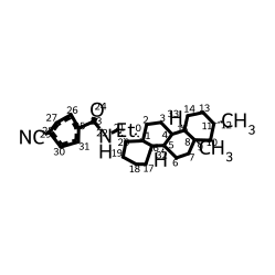 CC[C@]12CCC3[C@@H](CC[C@]4(C)C[C@@H](C)CC[C@H]34)C1CCC[C@@H]2CNC(=O)c1ccc(C#N)cc1